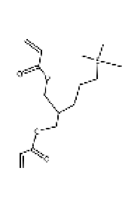 C=CC(=O)OCC(CCCS(C)(C)C)COC(=O)C=C